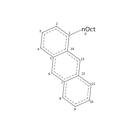 CCCCCCCCc1cccc2cc3ccc[c]c3cc12